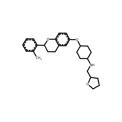 Cc1ccccc1C1CCc2cc(OC3CCC(NCC4CCCO4)CC3)ccc2O1